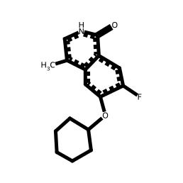 Cc1c[nH]c(=O)c2cc(F)c(OC3CCCCC3)cc12